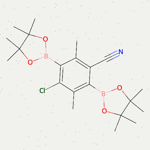 Cc1c(C#N)c(B2OC(C)(C)C(C)(C)O2)c(C)c(Cl)c1B1OC(C)(C)C(C)(C)O1